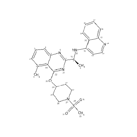 Cc1cccc2nc([C@H](C)Nc3ccnc4ccccc34)nc(OC3CCN(S(C)(=O)=O)CC3)c12